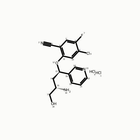 Cl.Cl.N#Cc1cc(F)c(Cl)cc1O[C@H](C[C@H](N)CO)c1cccnc1